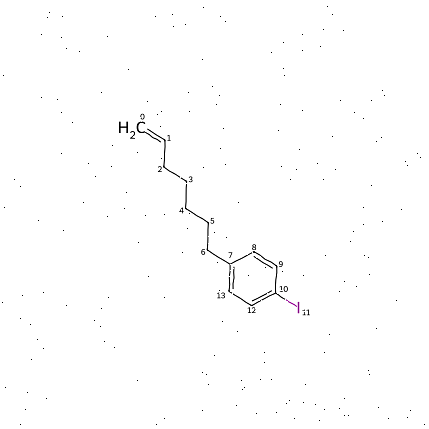 C=CCCCCCc1ccc(I)cc1